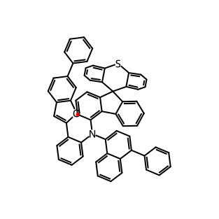 c1ccc(-c2ccc3cc(-c4ccccc4N(c4cccc5c4-c4ccccc4C54c5ccccc5Sc5ccccc54)c4ccc(-c5ccccc5)c5ccccc45)oc3c2)cc1